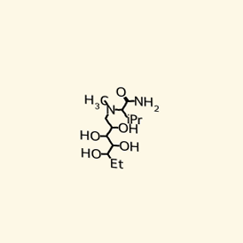 CCC(O)C(O)C(O)C(O)CN(C)C(C(N)=O)C(C)C